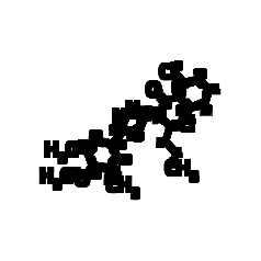 CCCCN(C(=O)c1c(Cl)cccc1Cl)c1nnc(-c2cc(C)c(OC)c(C)c2)s1